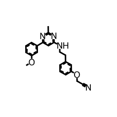 COc1cccc(-c2cc(NCCc3cccc(OCC#N)c3)nc(C)n2)c1